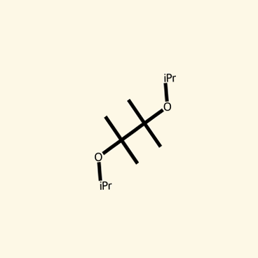 CC(C)OC(C)(C)C(C)(C)OC(C)C